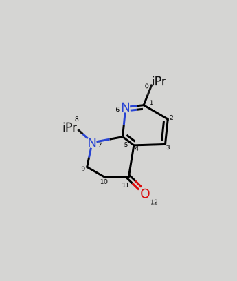 CC(C)c1ccc2c(n1)N(C(C)C)CCC2=O